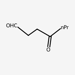 CCCC(=O)CCC=O